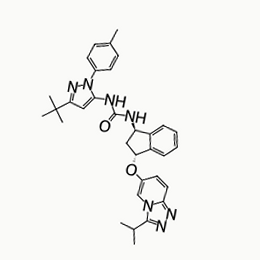 Cc1ccc(-n2nc(C(C)(C)C)cc2NC(=O)N[C@@H]2C[C@@H](Oc3ccc4nnc(C(C)C)n4c3)c3ccccc32)cc1